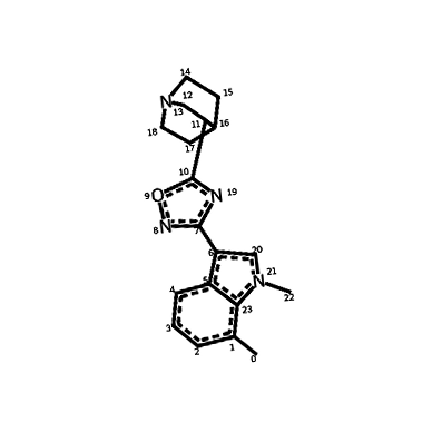 Cc1cccc2c(-c3noc(C4CN5CCC4CC5)n3)cn(C)c12